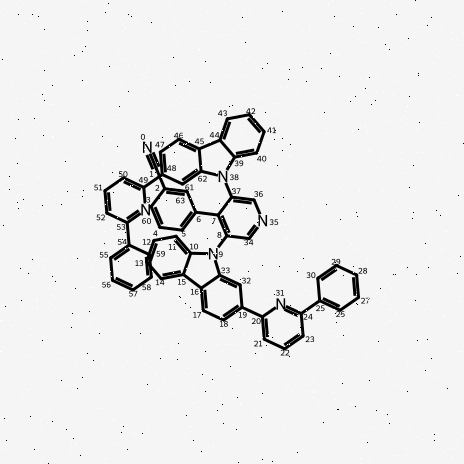 N#Cc1cccc(-c2c(-n3c4ccccc4c4ccc(-c5cccc(-c6ccccc6)n5)cc43)cncc2-n2c3ccccc3c3ccc(-c4cccc(-c5ccccc5)n4)cc32)c1